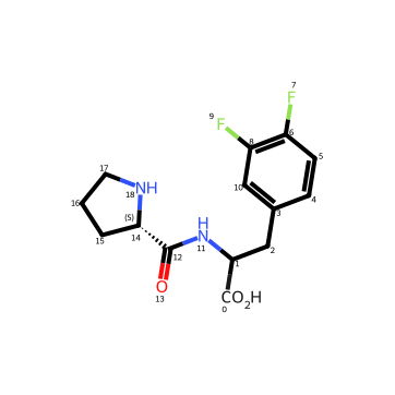 O=C(O)C(Cc1ccc(F)c(F)c1)NC(=O)[C@@H]1CCCN1